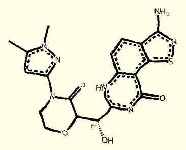 Cc1cc(N2CCOC([C@@H](O)c3nc(=O)c4c(ccc5c(N)nsc54)[nH]3)C2=O)nn1C